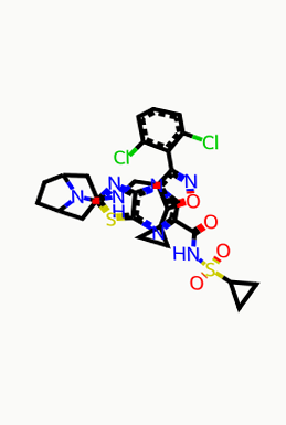 O=C(NS(=O)(=O)C1CC1)c1cnc2nc(N3C4CCC3CC(NCc3c(-c5c(Cl)cccc5Cl)noc3C3CC3)C4)sc2n1